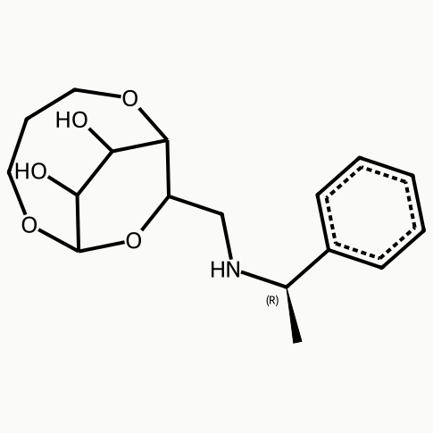 C[C@@H](NCC1OC2OCCCOC1C(O)C2O)c1ccccc1